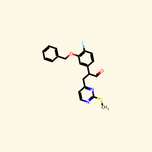 CSc1nccc(CC(C=O)c2ccc(F)c(OCc3ccccc3)c2)n1